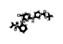 CC(C)S(=O)(=O)c1ccccc1Nc1nc(NC2CCN(C(=O)OC(C)(C)C)C2)ncc1Cl